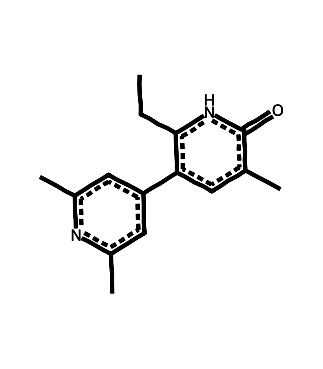 CCc1[nH]c(=O)c(C)cc1-c1cc(C)nc(C)c1